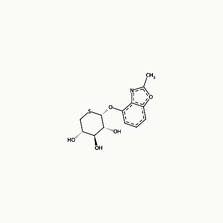 Cc1nc2c(O[C@H]3SC[C@@H](O)[C@H](O)[C@H]3O)cccc2o1